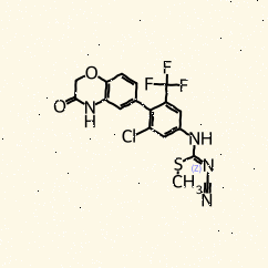 CS/C(=N\C#N)Nc1cc(Cl)c(-c2ccc3c(c2)NC(=O)CO3)c(C(F)(F)F)c1